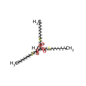 CCCCCCCCCCCCSCCC(=O)OCC(C)(COC(=O)CCSCCCCCCCCCCCC)COC(=O)CCSCCCCCCCCCCCC